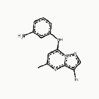 CCc1cnn2c(Nc3cccc(N)c3)cc(C)nc12